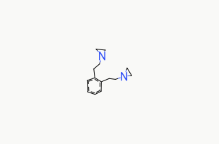 c1ccc(CCN2CC2)c(CCN2CC2)c1